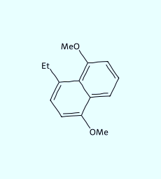 [CH2]Cc1ccc(OC)c2cccc(OC)c12